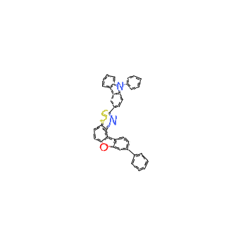 c1ccc(-c2ccc3c(c2)oc2ccc4sc(-c5ccc6c(c5)c5ccccc5n6-c5ccccc5)nc4c23)cc1